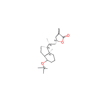 C=C1C[C@@H](C[C@@H](C)[C@H]2CCC3C(O[Si](C)(C)C)CCC[C@@]32C)OC1=O